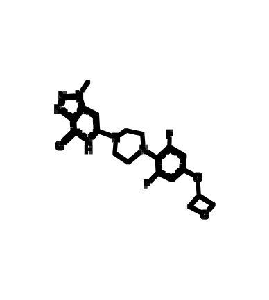 Cn1nnc2c(=O)[nH]c(N3CCN(c4c(F)cc(OC5COC5)cc4F)CC3)cc21